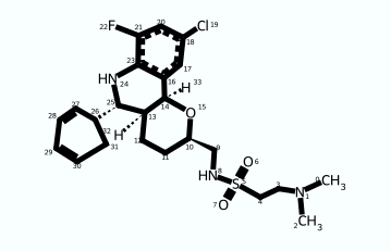 CN(C)CCS(=O)(=O)NC[C@H]1CC[C@@H]2[C@H](O1)c1cc(Cl)cc(F)c1N[C@H]2C1C=CC=CC1